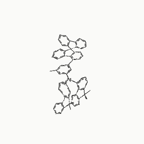 Cc1cc(-c2cccc3c2-c2ccccc2C32c3ccccc3-c3ccccc32)cc(N(c2ccc3c(c2)C(C)(C)c2ccccc2-3)c2cccc3c2-c2ccccc2C3(C)C)c1